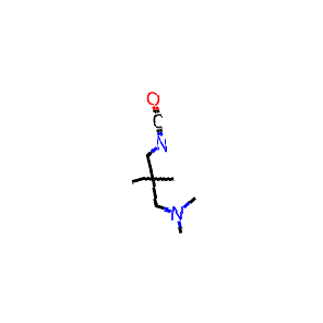 CN(C)CC(C)(C)CN=C=O